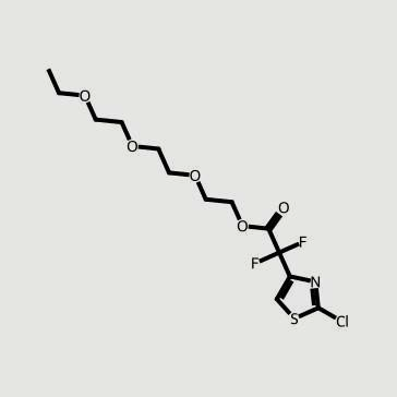 CCOCCOCCOCCOC(=O)C(F)(F)c1csc(Cl)n1